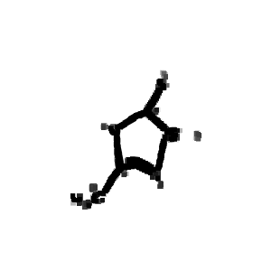 CC1=NSC([S])O1